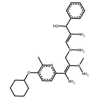 Cc1nc(/C(N)=C(\CN(N)/C=C(\N)C(O)c2ccccc2)N(C)N)ccc1OC1CCCCC1